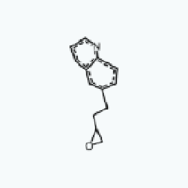 c1cnc2ccc(CCC3CO3)cc2c1